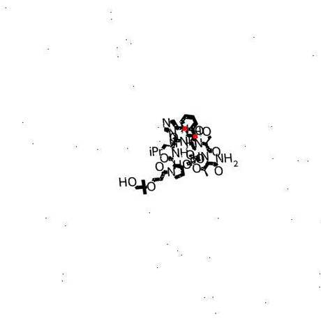 CC(C)C[C@H](NC(=O)[C@@H]1CCCN1C(=O)CCOC(C)(C)CO)C(=O)N[C@@H](Cc1cnc[nH]1)C(=O)N[C@@H](CO)C(=O)N[C@H](C(N)=O)[C@@H](C)OP(=O)(O)OCCCc1ccccn1